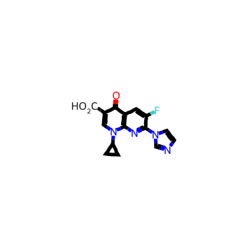 O=C(O)c1cn(C2CC2)c2nc(-n3ccnc3)c(F)cc2c1=O